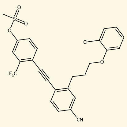 CS(=O)(=O)Oc1ccc(C#Cc2ccc(C#N)cc2CCCOc2ccccc2Cl)c(C(F)(F)F)c1